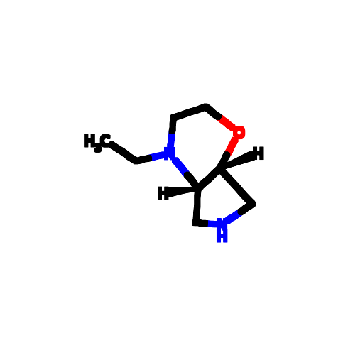 CCN1CCO[C@@H]2CNC[C@@H]21